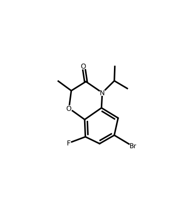 CC1Oc2c(F)cc(Br)cc2N(C(C)C)C1=O